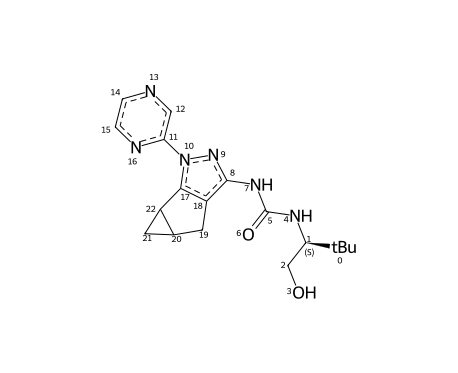 CC(C)(C)[C@@H](CO)NC(=O)Nc1nn(-c2cnccn2)c2c1CC1CC21